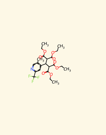 CCOC(=O)C(C(=O)OCC)C(c1cc(C(F)(F)F)ncc1C)C(C(=O)OCC)C(=O)OCC